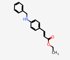 CCOC(=O)C=Cc1ccc(NCc2ccccc2)cc1